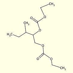 CCOC(=O)OCC(OC(=O)OCC)C(C)CC